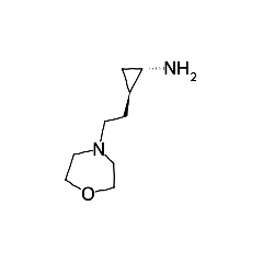 N[C@H]1C[C@@H]1CCN1CCOCC1